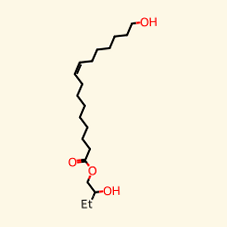 CCC(O)COC(=O)CCCCCCC/C=C\CCCCCCO